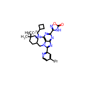 CC(C)c1ccnc(-c2nc3nc(-c4noc(=O)[nH]4)nc(N[C@H](C)C4CCC4)c3n2CC2CCC(C)(C)CC2)c1